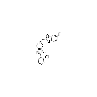 Cn1c(-c2ccccc2Cl)nc2c1CN(Cc1nc3ccc(F)cc3o1)CC2